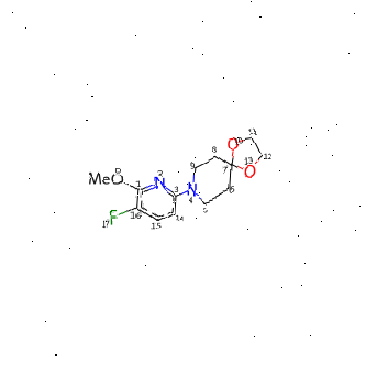 COc1nc(N2CCC3(CC2)OCCO3)ccc1F